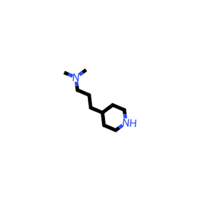 CN(C)CCCC1CCNCC1